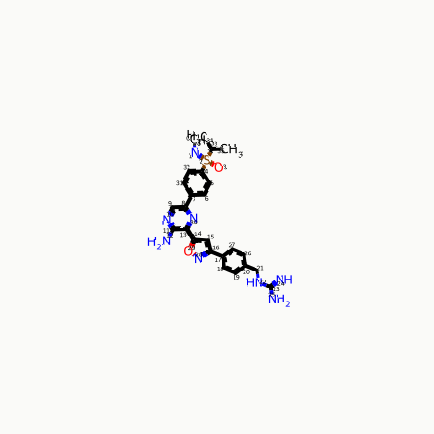 CN=S(=O)(c1ccc(-c2cnc(N)c(-c3cc(-c4ccc(CNC(=N)N)cc4)no3)n2)cc1)C(C)C